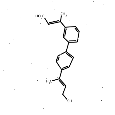 CC(=CCO)c1ccc(-c2cccc(C(C)=CC(=O)O)c2)cc1